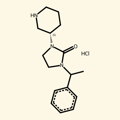 CC(c1ccccc1)N1CCN([C@H]2CCCNC2)C1=O.Cl